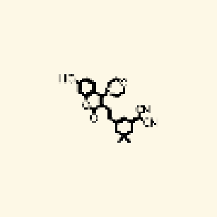 CC1(C)CC(C=Cc2c(N3CCOCC3)c3ccc(O)cc3oc2=O)=CC(=C(C#N)C#N)C1